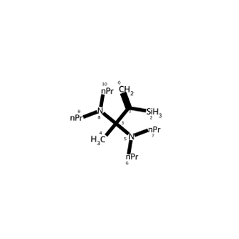 C=C([SiH3])C(C)(N(CCC)CCC)N(CCC)CCC